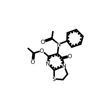 CC(=O)Oc1nc2n(c(=O)c1N(C(C)=O)c1ccccc1)CCS2